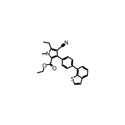 CCOC(=O)c1c(-c2ccc(-c3cccc4ccsc34)cc2)c(C#N)c(CC)n1C